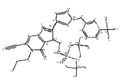 CCCn1c(C#N)nc2nc(-c3cnn(Cc4cccc(C(F)(F)F)c4)c3)n(COP(=O)(OC(C)(C)C)OC(C)(C)C)c2c1=O